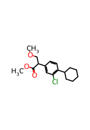 COCC(C(=O)OC)c1ccc(C2CCCCC2)c(Cl)c1